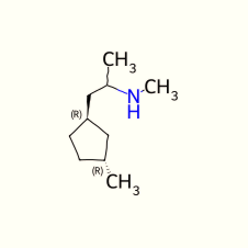 CNC(C)C[C@@H]1CC[C@@H](C)C1